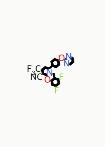 N#Cc1c(C(F)(F)F)cc(-c2ccc(Oc3ncccn3)cc2)n(Cc2ccc(F)cc2F)c1=O